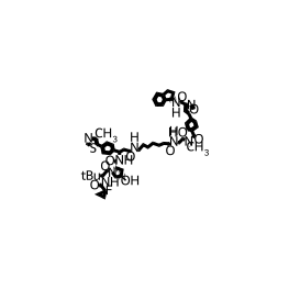 Cc1ncsc1-c1ccc(C(CC(=O)NCCCCCCC(=O)NCCN(C)C(=O)c2ccc(-c3cc(C(=O)N[C@@H]4CCc5ccccc54)no3)cc2O)NC(=O)[C@@H]2C[C@@H](O)CN2C(=O)C(NC(=O)C2(F)CC2)C(C)(C)C)cc1